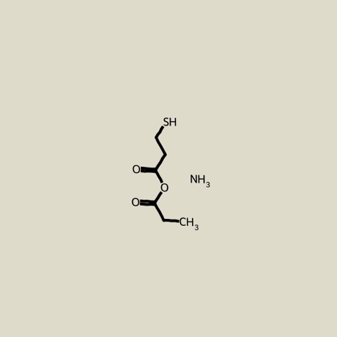 CCC(=O)OC(=O)CCS.N